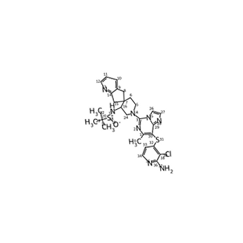 Cc1nc(N2CCC3(Cc4cccnc4C3)C(N[S+]([O-])C(C)(C)C)C2)n2ccnc2c1Sc1ccnc(N)c1Cl